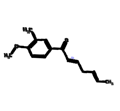 CC=CC/C=C/C(=O)c1ccc(OC)c(C)c1